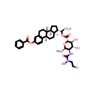 CO[C@H]1O[C@H](C(=O)OC(C(=O)O)[C@H]2CC[C@@H]3[C@H]4CCc5cc(OC(=O)c6ccccc6)ccc5[C@@H]4CC[C@]23C)[C@@H](O)[C@H](O)[C@H]1NC(=O)N(CCCl)N=O